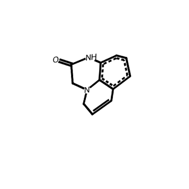 O=C1CN2CC=Cc3cccc(c32)N1